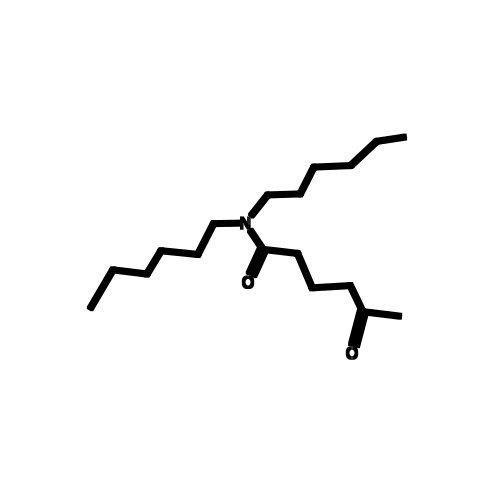 CCCCCCN(CCCCCC)C(=O)CCCC(C)=O